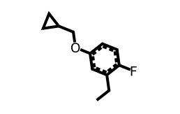 CCc1cc(OCC2CC2)ccc1F